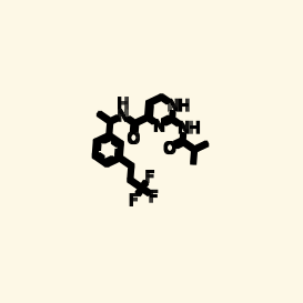 CC(C)C(=O)NC1=NC(C(=O)NC(C)c2cccc(CCC(F)(F)F)c2)=CCN1